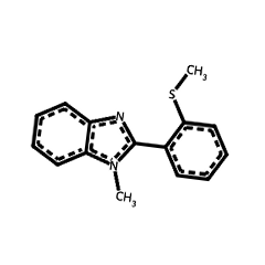 CSc1ccccc1-c1nc2ccccc2n1C